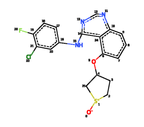 [O-][S+]1CCC(Oc2cccc3ncnc(Nc4ccc(F)c(Cl)c4)c23)C1